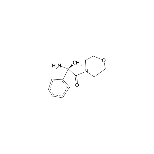 C[C@@](N)(C(=O)N1CCOCC1)c1ccccc1